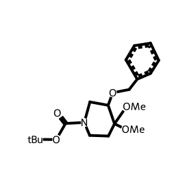 COC1(OC)CCN(C(=O)OC(C)(C)C)CC1OCc1ccccc1